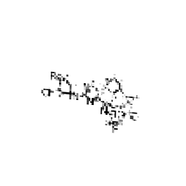 O=C(O)[C@H]1CC1c1cccc(-c2cnc(Nc3ccc(F)c(Cl)c3)nc2-n2ccc(C(F)(F)F)n2)c1